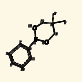 CC1(C)COB(c2ccccc2)OC1